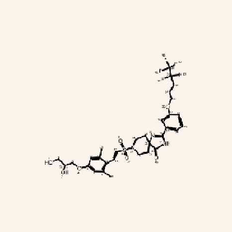 Cc1cc(OC[C@@H](O)CO)cc(C)c1C=CS(=O)(=O)N1CCC2(CC1)N=C(c1cccc(OCCCC(F)(F)C(F)(F)F)c1)NC2=O